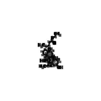 CCOC(=O)CCC(C)[C@H]1CC[C@H]2[C@@H]3[C@H](O)[C@H](CC)[C@@H]4C[C@H](O)CC[C@]4(C)[C@H]3CC[C@]12C